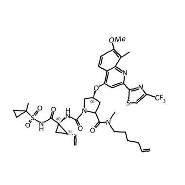 C=CCCCCN(C)C(=O)C1C[C@H](Oc2cc(-c3nc(C(F)(F)F)cs3)nc3c(C)c(OC)ccc23)CN1C(=O)N[C@]1(C(=O)NS(=O)(=O)C2(C)CC2)C[C@H]1C=C